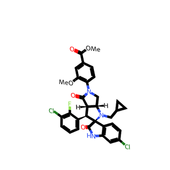 COC(=O)c1ccc(N2C[C@H]3[C@@H](C2=O)[C@H](c2cccc(Cl)c2F)[C@]2(C(=O)Nc4cc(Cl)ccc42)N3CC2CC2)c(OC)c1